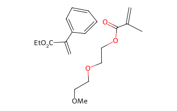 C=C(C(=O)OCC)c1ccccc1.C=C(C)C(=O)OCCOCCOC